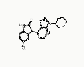 O=C1Nc2ccc(Cl)cc2C1c1ncnc2c1cnn2C1CCCCC1